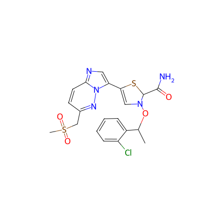 CC(ON1C=C(c2cnc3ccc(CS(C)(=O)=O)nn23)SC1C(N)=O)c1ccccc1Cl